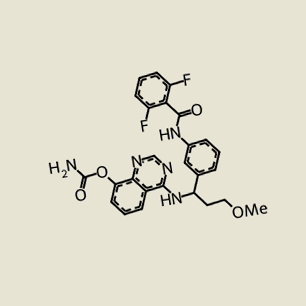 COCCC(Nc1ncnc2c(OC(N)=O)cccc12)c1cccc(NC(=O)c2c(F)cccc2F)c1